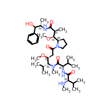 CN[C@@H](C(=O)N[C@@H](C(=O)N(C)[C@H](C(C)C)[C@H](CC(=O)N1CCC[C@@H]1[C@@H](OC)[C@H](C)C(=O)N[C@@H](C)C(O)c1ccccc1)OC)C(C)C)C(C)C